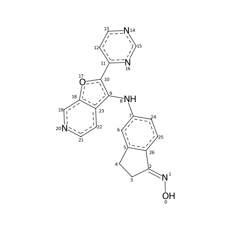 ON=C1CCc2cc(Nc3c(-c4ccncn4)oc4cnccc34)ccc21